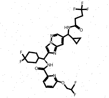 O=C(CCC(F)(F)F)NC(c1cnn2cc([C@@H](NC(=O)c3cccc(OCC(F)F)n3)C3CCC(F)(F)CC3)nc2c1)C1CC1